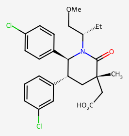 CC[C@@H](COC)N1C(=O)[C@](C)(CC(=O)O)C[C@H](c2cccc(Cl)c2)[C@H]1c1ccc(Cl)cc1